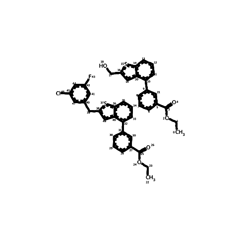 CCOC(=O)c1cccc(-c2cccc3sc(CO)cc23)c1.CCOC(=O)c1cccc(-c2cccc3sc(Cc4cc(F)cc(Cl)c4)cc23)c1